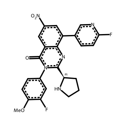 COc1ccc(-n2c([C@H]3CCCN3)nc3c(-c4ccc(F)nc4)cc([N+](=O)[O-])cc3c2=O)cc1F